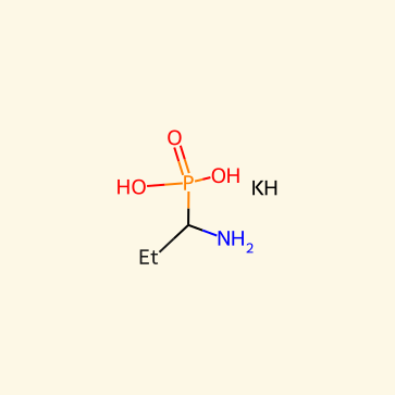 CCC(N)P(=O)(O)O.[KH]